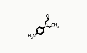 CCN(CC=O)c1ccc(N)cc1